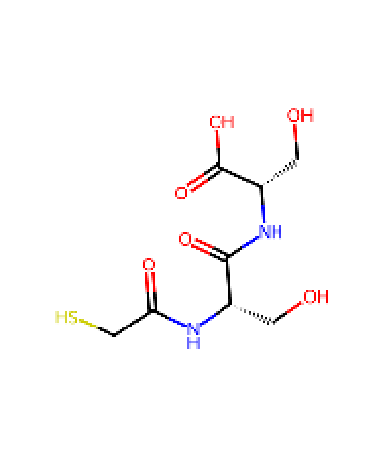 O=C(CS)N[C@@H](CO)C(=O)N[C@@H](CO)C(=O)O